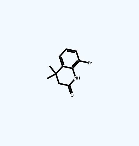 CC1(C)CC(=O)Nc2c(Br)cccc21